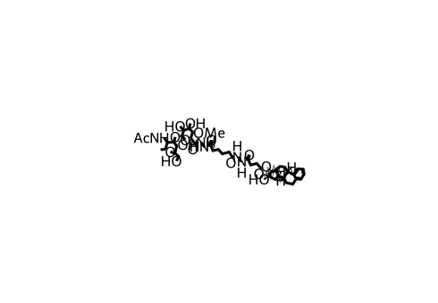 COC1C(C(=O)NNC(=O)CCCCC(=O)NNC(=O)CCC(=O)O[C@H]2[C@H](O)C[C@H]3[C@@H]4CCc5ccccc5[C@H]4CC[C@@]32C)OC(OC2C(O)C(CO)OC(C)C2NC(C)=O)C(O)C1O